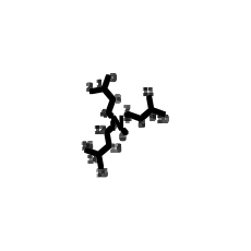 CC(C)CC[N+](C)(CCC(C)C)CCC(C)C